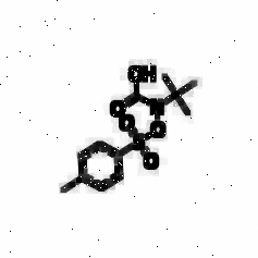 Cc1ccc(S(=O)(=O)ON(C(=O)O)C(C)(C)C)cc1